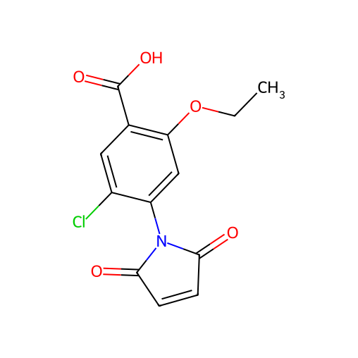 CCOc1cc(N2C(=O)C=CC2=O)c(Cl)cc1C(=O)O